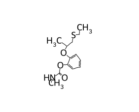 CCSCC(C)Oc1ccccc1OC(=O)NC